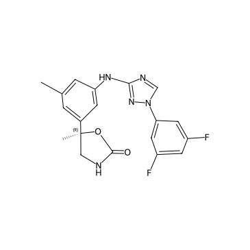 Cc1cc(Nc2ncn(-c3cc(F)cc(F)c3)n2)cc([C@]2(C)CNC(=O)O2)c1